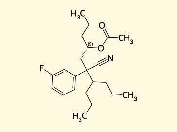 CCCC(CCC)C(C#N)(C[C@H](CCC)OC(C)=O)c1cccc(F)c1